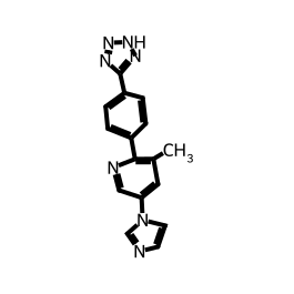 Cc1cc(-n2ccnc2)cnc1-c1ccc(-c2nn[nH]n2)cc1